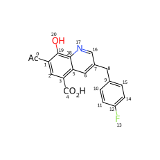 CC(=O)c1cc(C(=O)O)c2cc(Cc3ccc(F)cc3)cnc2c1O